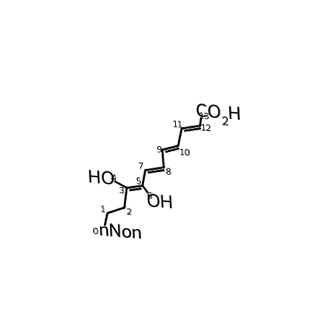 CCCCCCCCCCCC(O)=C(O)C=CC=CC=CC(=O)O